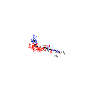 CO/N=C(\C)CCNC(=O)CCNC(=O)C(O)C(C)(C)COP(=O)(O)OP(=O)(O)OCC1OC(n2cnc3c(N)ncnc32)C(O)C1OP(=O)(O)O